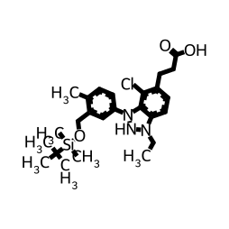 CCN1NN(c2ccc(C)c(CO[Si](C)(C)C(C)(C)C)c2)c2c1ccc(CCC(=O)O)c2Cl